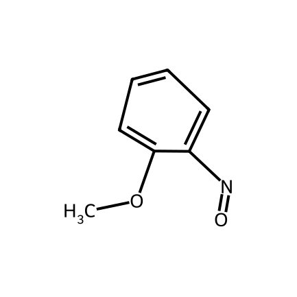 COc1ccccc1N=O